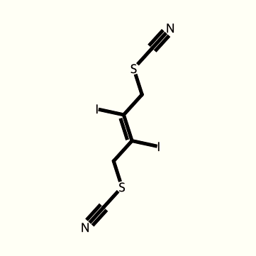 N#CSCC(I)=C(I)CSC#N